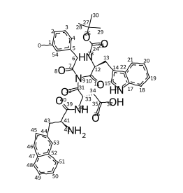 Cc1cccc(CC(=O)N(C(=O)[C@H](Cc2c[nH]c3ccccc23)NC(=O)OC(C)(C)C)C(=O)[C@H](CC(=O)O)NC(=O)[C@@H](N)Cc2ccc3ccccc3c2)c1